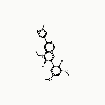 CCn1c(=O)c(-c2cc(OC)cc(OC)c2F)cc2cnc(-c3cnn(C)c3)cc21